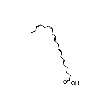 CC/C=C\C/C=C\C/C=C/C/C=C/C/C=C/CCCC(=O)O